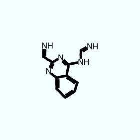 N=CNc1nc(C=N)nc2ccccc12